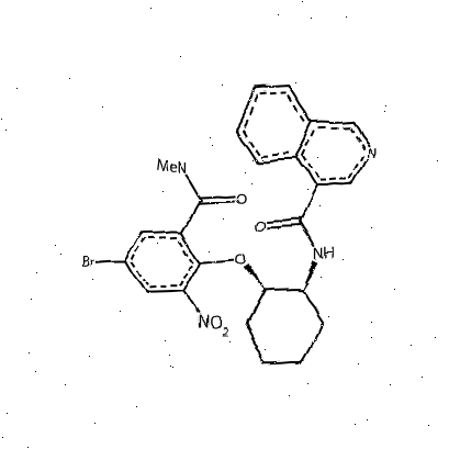 CNC(=O)c1cc(Br)cc([N+](=O)[O-])c1O[C@@H]1CCCC[C@@H]1NC(=O)c1cncc2ccccc12